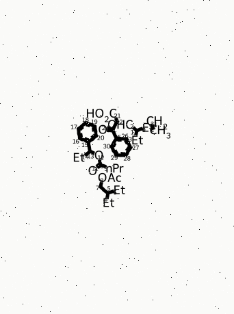 CCC(C=O)CC.CCC(CC)COC(C)=O.CCCC(=O)OC(CC)c1ccccc1.O=C(O)CC(=O)c1ccccc1.[CH2]C